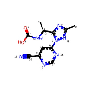 Cc1nc([C@H](C)NC(=O)O)n(-c2cc(C#N)ncn2)n1